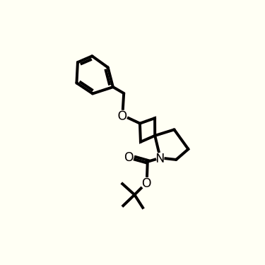 CC(C)(C)OC(=O)N1CCCC12CC(OCc1ccccc1)C2